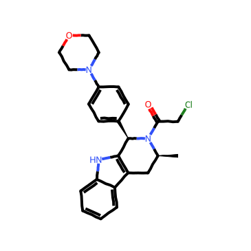 C[C@H]1Cc2c([nH]c3ccccc23)[C@@H](c2ccc(N3CCOCC3)cc2)N1C(=O)CCl